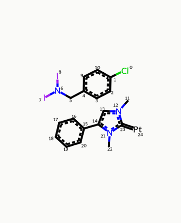 Clc1ccc(CN(I)I)cc1.Cn1cc(-c2ccccc2)n(C)[c]1=[Pt]